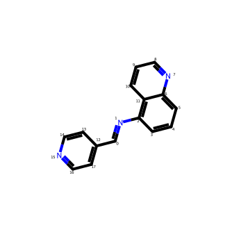 C(=N\c1cccc2ncccc12)/c1ccncc1